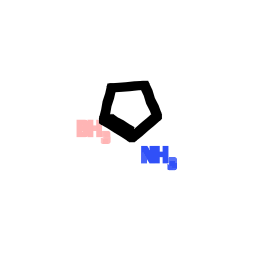 B.C1=CCCC1.N